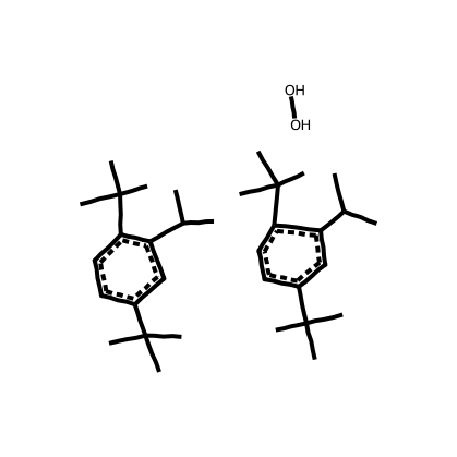 CC(C)c1cc(C(C)(C)C)ccc1C(C)(C)C.CC(C)c1cc(C(C)(C)C)ccc1C(C)(C)C.OO